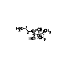 C=CCOC(O)C(C)(C)CC